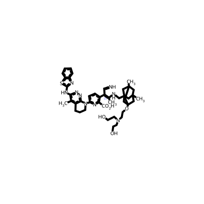 C/C(NCC12CC3(C)CC(C)(C1)CC(OCCN(CCO)CCO)(C3)C2)=C(/C=N)c1ccc(N2CCCc3c2nnc(Nc2nc4ccccc4s2)c3C)nc1C(=O)O